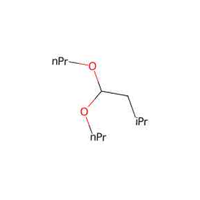 CCCOC(CC(C)C)OCCC